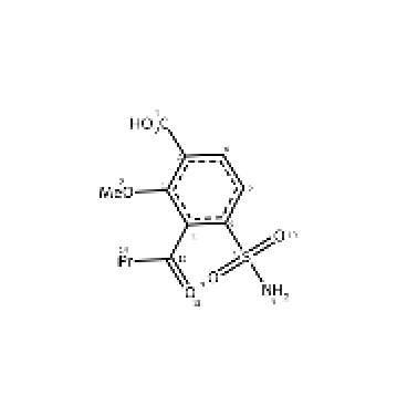 COc1c(C(=O)O)ccc(S(N)(=O)=O)c1C(=O)C(C)C